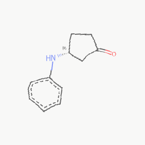 O=C1CC[C@@H](Nc2ccccc2)C1